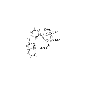 CC(=O)OC[C@H]1O[C@@H](c2cccc(Cc3nc4ccccc4o3)c2)[C@H](OC(C)=O)[C@@H](OC(C)=O)[C@@H]1OC(C)=O